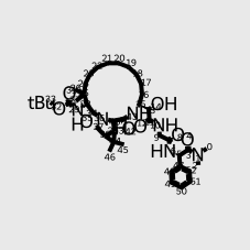 CN(C)C(=O)[C@@H](NC(=O)CNC(=O)C(O)[C@@H]1CCCCCCCCCC(C)(C)[C@H](NC(=O)OC(C)(C)C)C(=O)N2CC3C([C@H]2C(=O)N1)C3(C)C)c1ccccc1